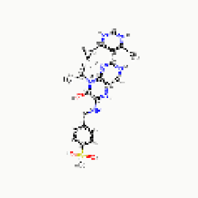 CCS(=O)(=O)c1ccc(CNc2nc3cnc(-c4c(C)ncnc4C4CC4)nc3n([C@@H](C)C(F)(F)F)c2=O)cc1